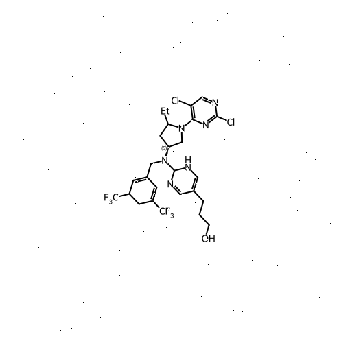 CCC1C[C@H](N(CC2=CC(C(F)(F)F)CC(C(F)(F)F)=C2)C2N=CC(CCCO)=CN2)CN1c1nc(Cl)ncc1Cl